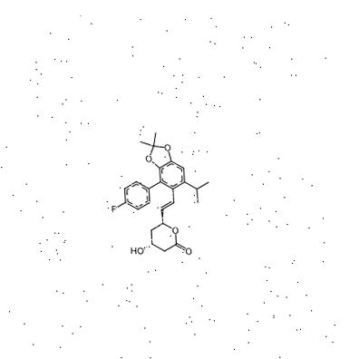 CC(C)c1cc2c(c(-c3ccc(F)cc3)c1/C=C/[C@@H]1C[C@@H](O)CC(=O)O1)OC(C)(C)O2